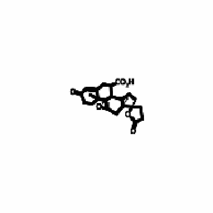 CC12CCC(=O)C=C1CC(C(=O)O)C1C3CC[C@@]4(CCC(=O)O4)[C@@]3(C)C[C@H]3O[C@]132